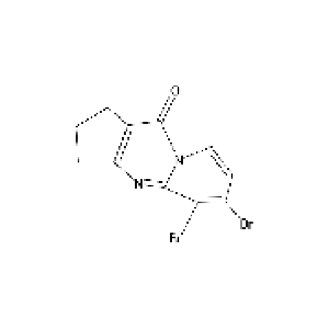 O=c1c2c(nc3c(Br)c(Br)ccn13)CCC2